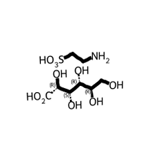 NCCS(=O)(=O)O.O=C(O)[C@H](O)[C@@H](O)[C@H](O)[C@H](O)CO